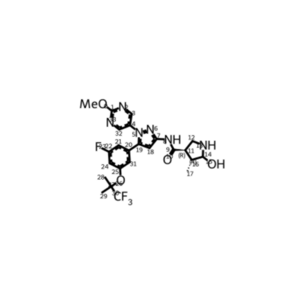 COc1ncc(-n2nc(NC(=O)[C@H]3CNC(O)[C@@H]3C)cc2-c2cc(F)cc(OC(C)(C)C(F)(F)F)c2)cn1